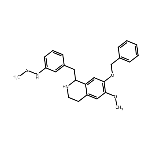 COc1cc2c(cc1OCc1ccccc1)C(Cc1cccc(NSC)c1)NCC2